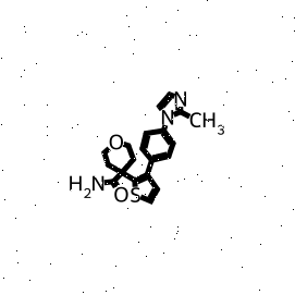 Cc1nccn1-c1ccc(-c2ccsc2C2(C(N)=O)CCOCC2)cc1